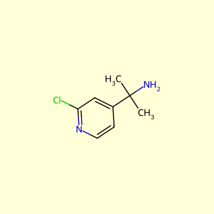 CC(C)(N)c1ccnc(Cl)c1